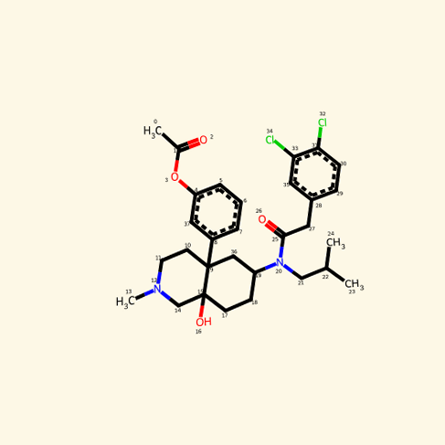 CC(=O)Oc1cccc(C23CCN(C)CC2(O)CCC(N(CC(C)C)C(=O)Cc2ccc(Cl)c(Cl)c2)C3)c1